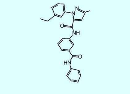 CCc1cccc(-n2nc(C)cc2C(=O)Nc2cccc(C(=O)Nc3ccccc3)c2)c1